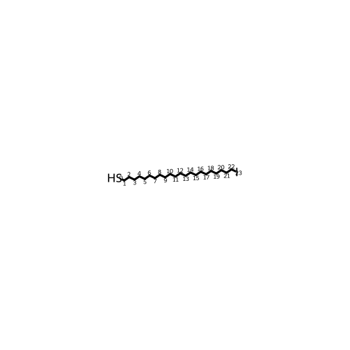 SCCCCCCCCCCCCCCCCCCCCCCI